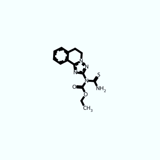 CCOC(=O)N(C(N)=S)c1nc2n(n1)CCc1ccccc1-2